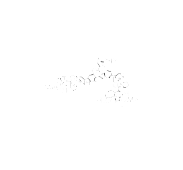 COC(=O)NC(C(=O)N1CCC[C@H]1c1ncc(-c2cc(F)c3c(c2)OC(c2cnc(CC(C)C)s2)n2c-3cc3cc(-c4cnc([C@@H]5CCCN5C(=O)C(NC(=O)OC)C5CCOC(C)(C)C5)[nH]4)ccc32)[nH]1)C(C)C